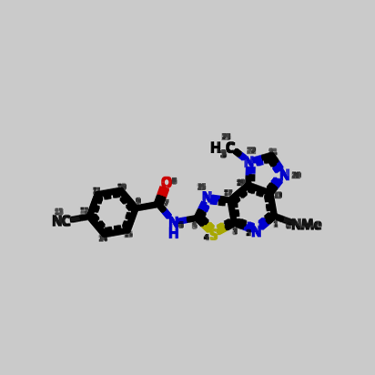 CNc1nc2sc(NC(=O)c3ccc(C#N)cc3)nc2c2c1ncn2C